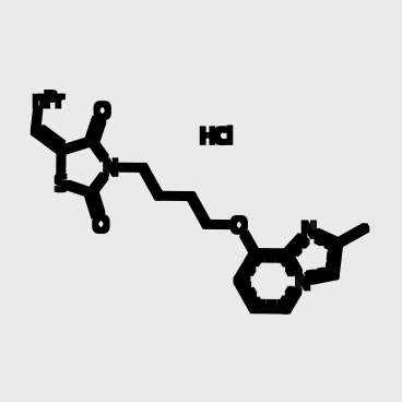 CCC/C=C1/SC(=O)N(CCCCOc2cccn3cc(C)nc23)C1=O.Cl